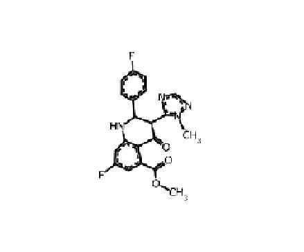 COC(=O)c1cc(F)cc2c1C(=O)C(c1ncnn1C)C(c1ccc(F)cc1)N2